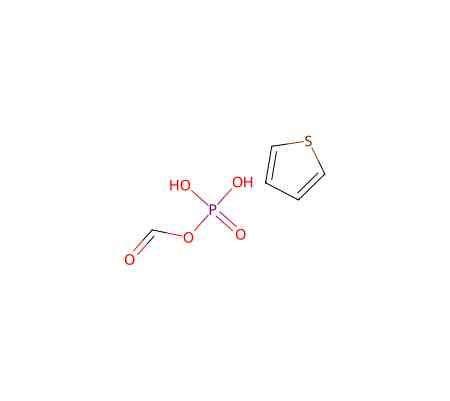 O=COP(=O)(O)O.c1ccsc1